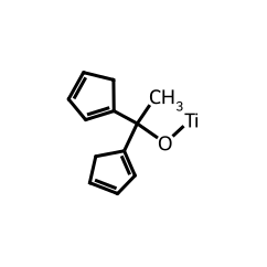 CC([O][Ti])(C1=CC=CC1)C1=CC=CC1